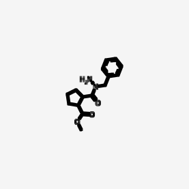 COC(=O)C1CCCC1C(=O)N(N)Cc1ccccc1